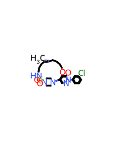 C/C1=C\CCCCOc2c(cnn(-c3cccc(Cl)c3)c2=O)N2CCN(CC2)S(=O)(=O)NCCC1